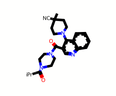 CC(C)C(=O)N1CCN(C(=O)c2cnc3ccccc3c2N2CCC(C)(C#N)CC2)CC1